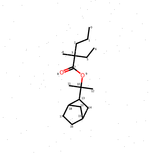 CCCC(C)(CC)C(=O)OC(C)(C)C1CC2CCC1C2